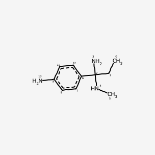 CCC(N)(NC)c1ccc(N)cc1